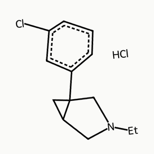 CCN1CC2CC2(c2cccc(Cl)c2)C1.Cl